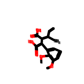 CCC([SiH3])C(C(=O)O)C(C(=O)O)c1cccc(OC)c1OC